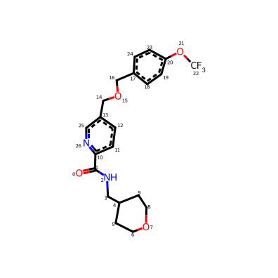 O=C(NCC1CCOCC1)c1ccc(COCc2ccc(OC(F)(F)F)cc2)cn1